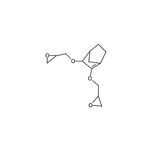 C1CC2CC1=C(OCC1CO1)C2OCC1CO1